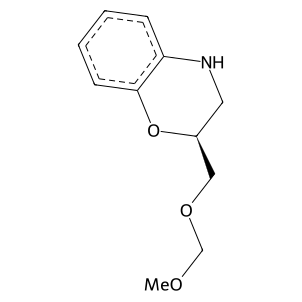 COCOC[C@@H]1CNc2ccccc2O1